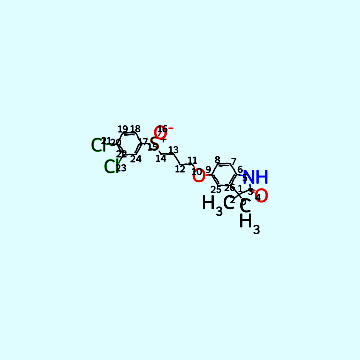 CC1(C)C(=O)Nc2ccc(OCCCC[S+]([O-])c3ccc(Cl)c(Cl)c3)cc21